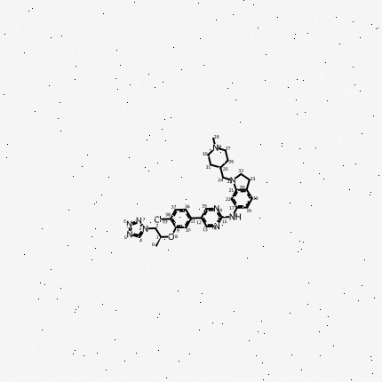 C[C@@H](Cn1cnnn1)Oc1cc(-c2cnc(Nc3ccc4c(c3)N(CC3CCN(C)CC3)CC4)nc2)ccc1Cl